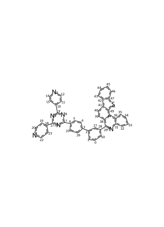 c1cc(-c2ccc(-c3nc(-c4ccncc4)nc(-c4ccncc4)n3)cc2)cc(-c2nc3ccccc3c3c2ccc2c4ccccc4sc23)c1